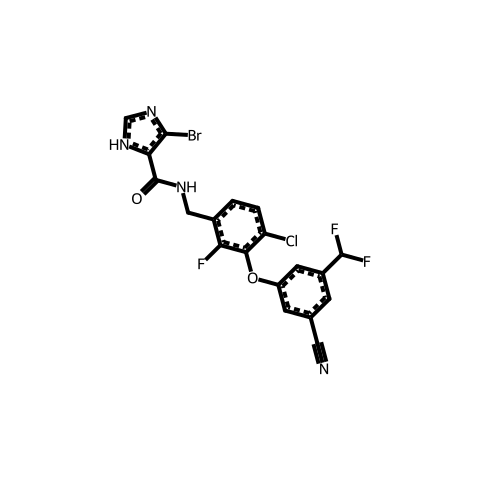 N#Cc1cc(Oc2c(Cl)ccc(CNC(=O)c3[nH]cnc3Br)c2F)cc(C(F)F)c1